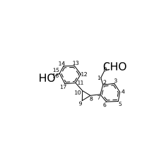 O=CCc1ccccc1C1CC1c1cccc(O)c1